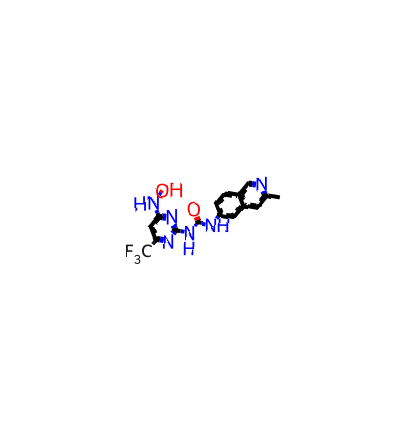 Cc1cc2cc(NC(=O)Nc3nc(NO)cc(C(F)(F)F)n3)ccc2cn1